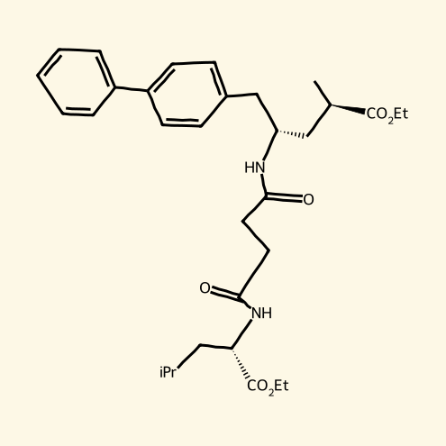 CCOC(=O)[C@H](C)C[C@@H](Cc1ccc(-c2ccccc2)cc1)NC(=O)CCC(=O)N[C@@H](CC(C)C)C(=O)OCC